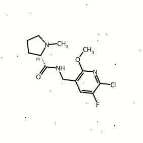 COc1nc(Cl)c(F)cc1CNC(=O)[C@@H]1CCCN1C